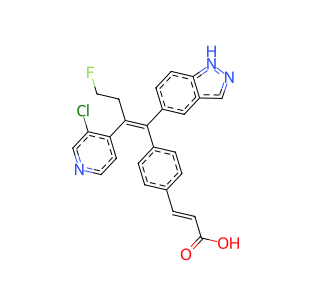 O=C(O)/C=C/c1ccc(/C(=C(/CCF)c2ccncc2Cl)c2ccc3[nH]ncc3c2)cc1